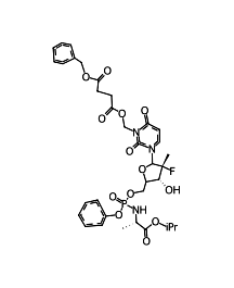 CC(C)OC(=O)[C@H](C)NP(=O)(OCC1OC(n2ccc(=O)n(COC(=O)CCC(=O)OCc3ccccc3)c2=O)[C@](C)(F)[C@@H]1O)Oc1ccccc1